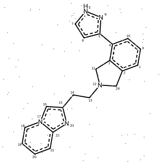 c1cc2c(c(-c3cc[nH]n3)c1)CN(CCc1cn3ccccc3n1)C2